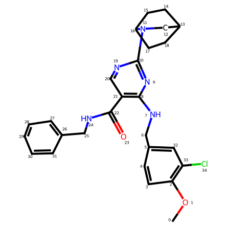 COc1ccc(CNc2nc(N3CC4CCC3CC4)ncc2C(=O)NCc2ccccc2)cc1Cl